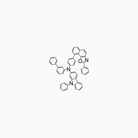 c1ccc(-c2cccc(N(c3ccc(-c4cccc5ccc6nc(-c7ccccc7)oc6c45)cc3)c3ccc4c5ccccc5n(-c5ccccc5)c4c3)c2)cc1